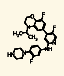 CC(C)N1CCOc2c(F)cc(-c3cc(Nc4ccc(N5CCNCC5)c(F)c4)ncc3F)cc21